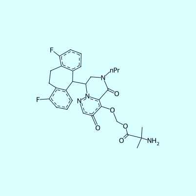 CCCN1CC(C2c3cccc(F)c3CCc3c(F)cccc32)n2ncc(=O)c(OCOC(=O)C(C)(C)N)c2C1=O